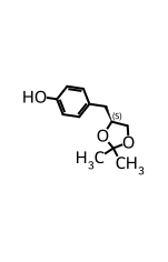 CC1(C)OC[C@H](Cc2ccc(O)cc2)O1